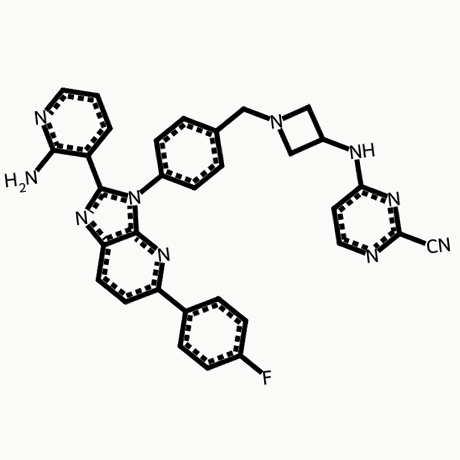 N#Cc1nccc(NC2CN(Cc3ccc(-n4c(-c5cccnc5N)nc5ccc(-c6ccc(F)cc6)nc54)cc3)C2)n1